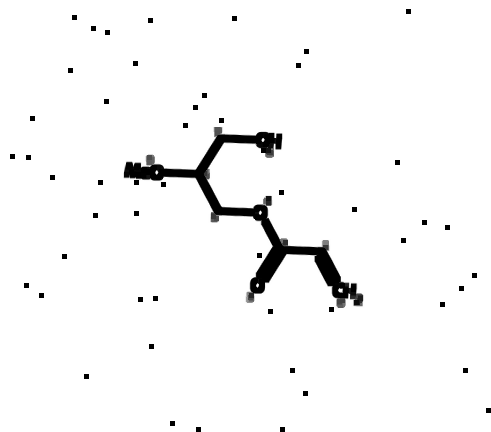 C=CC(=O)OCC(CO)OC